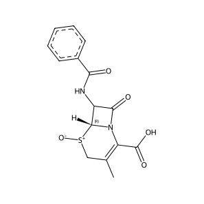 CC1=C(C(=O)O)N2C(=O)C(NC(=O)c3ccccc3)[C@H]2[S+]([O-])C1